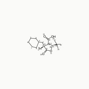 [2H][C@]1(CC2CCCCC2)C(=O)O[C@H](C(C)(C)C)N1C(=O)O